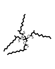 CCCCCCCCCC(C)CC(=S)OCC(COC(=S)CC(C)CCCCCCCCC)(COC(=S)CC(C)CCCCCCCCC)COC(=S)CC(C)CCCCCCCCC